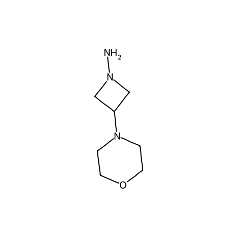 NN1CC(N2CCOCC2)C1